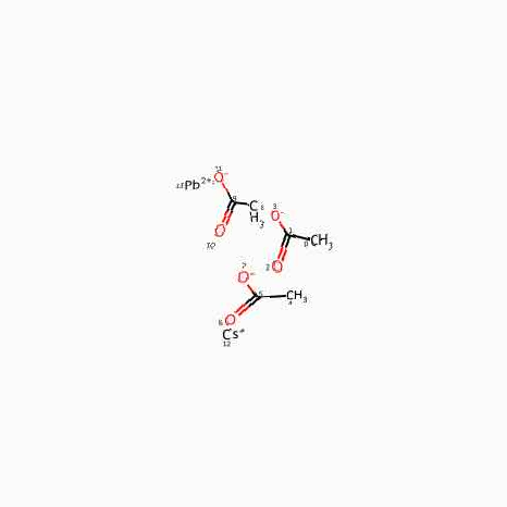 CC(=O)[O-].CC(=O)[O-].CC(=O)[O-].[Cs+].[Pb+2]